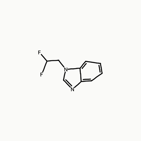 FC(F)Cn1cnc2ccccc21